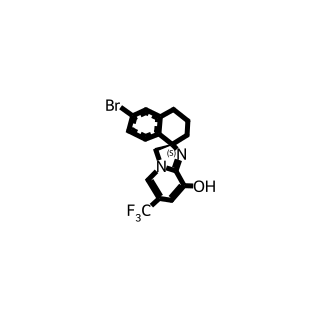 OC1=CC(C(F)(F)F)=CN2C[C@@]3(CCCc4cc(Br)ccc43)N=C12